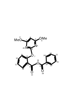 COc1cc(OC)nc(Oc2ccccc2C(=O)OC(=O)c2ccccc2)n1